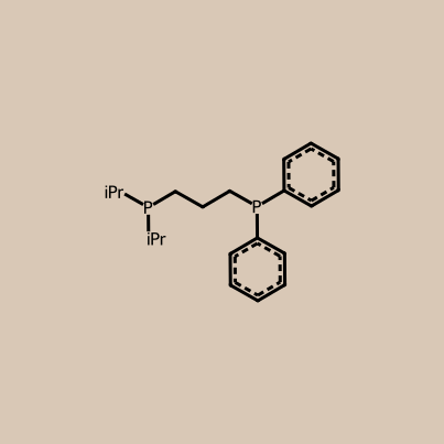 CC(C)P(CCCP(c1ccccc1)c1ccccc1)C(C)C